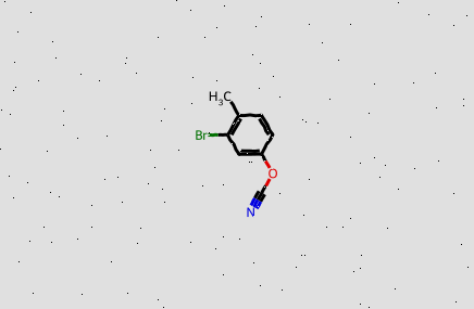 Cc1ccc(OC#N)cc1Br